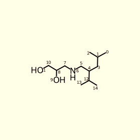 CC(C)CC(CNCC(O)CO)C(C)C